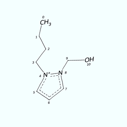 CCCC[n+]1cccn1CO